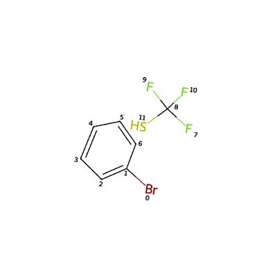 Brc1ccccc1.FC(F)(F)S